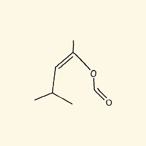 CC(=CC(C)C)OC=O